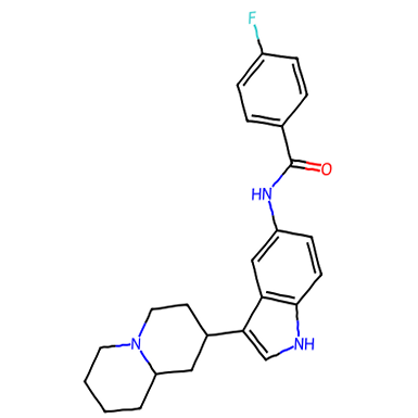 O=C(Nc1ccc2[nH]cc(C3CCN4CCCCC4C3)c2c1)c1ccc(F)cc1